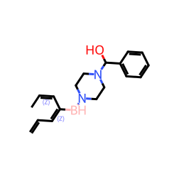 C=C/C=C(BN1CCN(C(O)c2ccccc2)CC1)\C=C/C